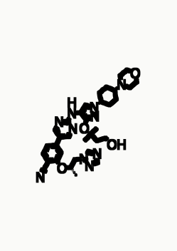 C[C@@H](Cn1cncn1)Oc1cc(-c2cnc(Nc3cn([C@H]4CC[C@H](N5CCOCC5)CC4)nc3OC(C)(C)CCO)nc2)ccc1C#N